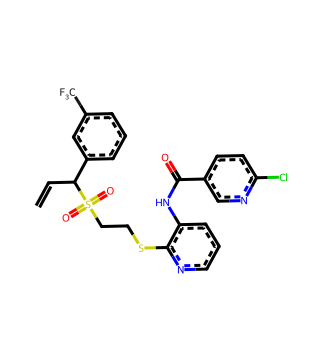 C=CC(c1cccc(C(F)(F)F)c1)S(=O)(=O)CCSc1ncccc1NC(=O)c1ccc(Cl)nc1